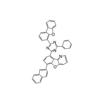 c1ccc(-c2nc(-c3cccc4c3oc3ccccc34)nc(-c3ccc(-c4ccc5ccccc5c4)c4oc5cccnc5c34)n2)cc1